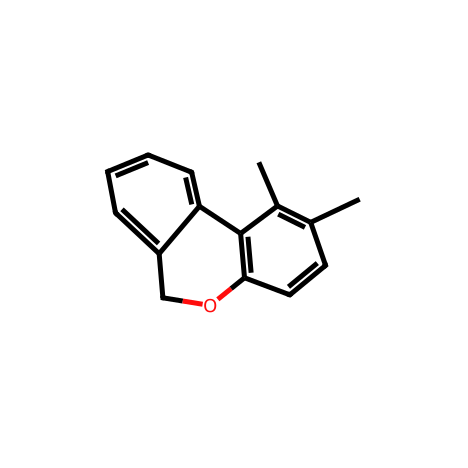 Cc1ccc2c(c1C)-c1ccccc1CO2